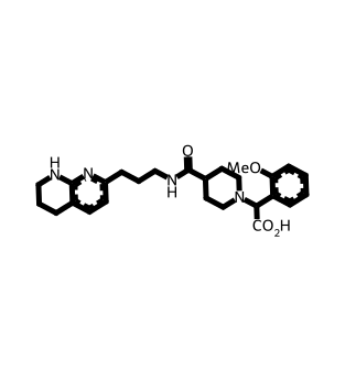 COc1ccccc1C(C(=O)O)N1CCC(C(=O)NCCCc2ccc3c(n2)NCCC3)CC1